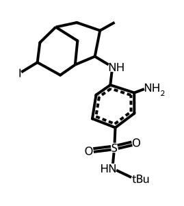 CC1CC2CC(I)CC(C2)C1Nc1ccc(S(=O)(=O)NC(C)(C)C)cc1N